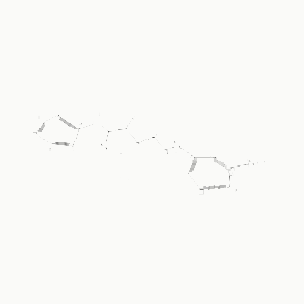 Cl.NC(Oc1ccccc1)C(O)CCCNc1cccc([N+](=O)[O-])c1